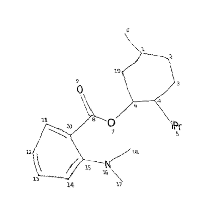 CC1CCC(C(C)C)C(OC(=O)c2ccccc2N(C)C)C1